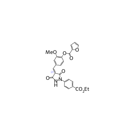 CCOC(=O)c1ccc(N2NC(=O)/C(=C/c3ccc(OC(=O)c4ccco4)c(OC)c3)C2=O)cc1